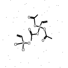 C=C[Si](Cl)(Cl)Cl.C=C[Si](OC(C)=O)(OC(C)=O)OC(C)=O